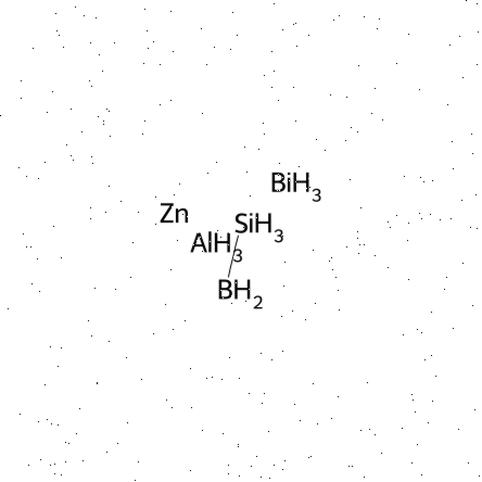 B[SiH3].[AlH3].[BiH3].[Zn]